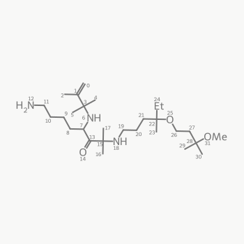 C=C(C)C(C)(C)NC(CCCCN)C(=O)C(C)(C)NCCCC(C)(CC)OCCC(C)(C)OC